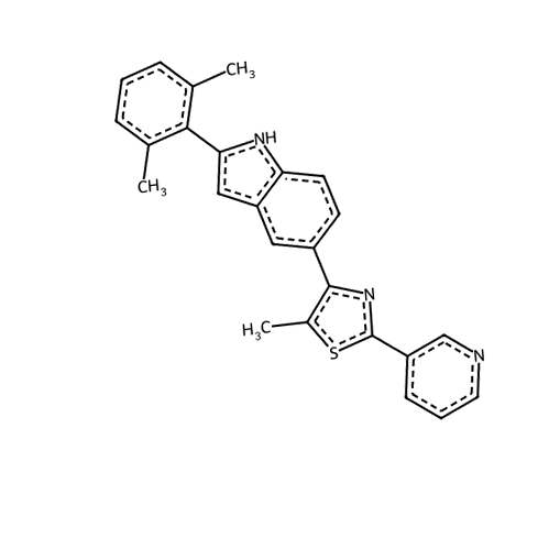 Cc1cccc(C)c1-c1cc2cc(-c3nc(-c4cccnc4)sc3C)ccc2[nH]1